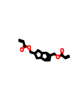 C=CC(=O)OCC1CC2C3CC(COC(=O)C=C)C(C3)C2C1